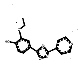 CCOc1cc(-c2nc(-c3ccncc3)no2)ccc1O